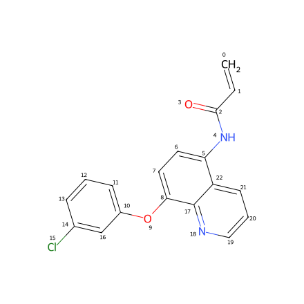 C=CC(=O)Nc1ccc(Oc2cccc(Cl)c2)c2ncccc12